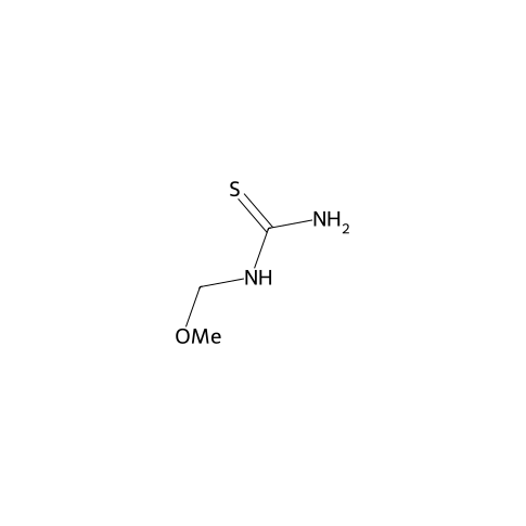 COCNC(N)=S